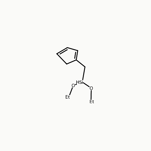 CCO[SiH](CC1=CC=CC1)OCC